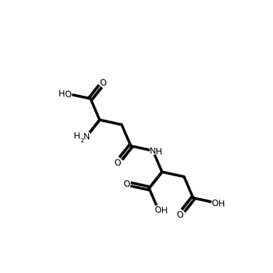 NC(CC(=O)NC(CC(=O)O)C(=O)O)C(=O)O